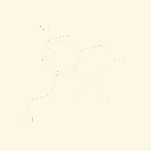 CCSc1cccc(CC)c1S(=O)(=O)O.[NaH]